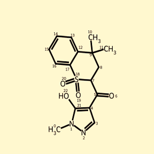 Cn1ncc(C(=O)C2CC(C)(C)c3ccccc3S2(=O)=O)c1O